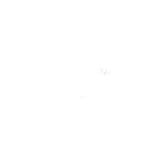 CCCOC(=O)Nc1ccc(Br)cc1